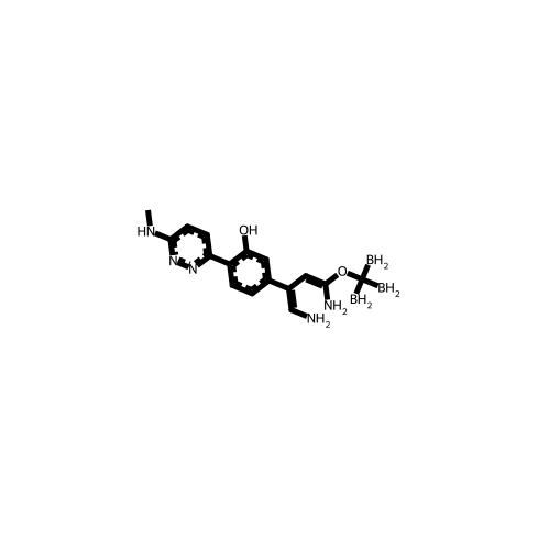 BC(B)(B)O/C(N)=C/C(=C\N)c1ccc(-c2ccc(NC)nn2)c(O)c1